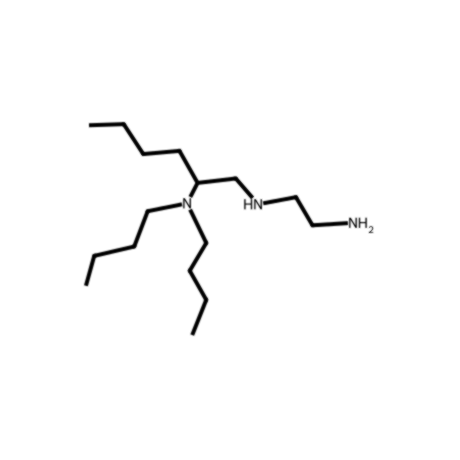 CCCCC(CNCCN)N(CCCC)CCCC